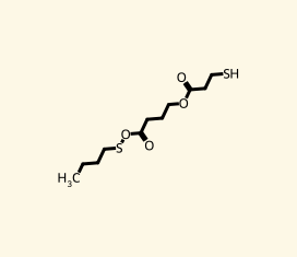 CCCCSOC(=O)CCCOC(=O)CCS